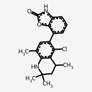 Cc1cc(-c2cccc3[nH]c(=O)oc23)c(Cl)c2c1NC(C)(C)CC2C